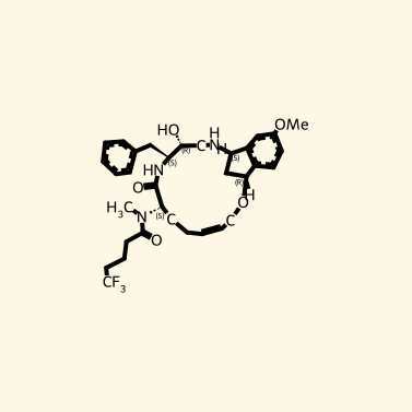 COc1ccc2c(c1)[C@@H]1C[C@H]2OCC=CCC[C@H](N(C)C(=O)CCCC(F)(F)F)C(=O)N[C@@H](Cc2ccccc2)[C@H](O)CN1